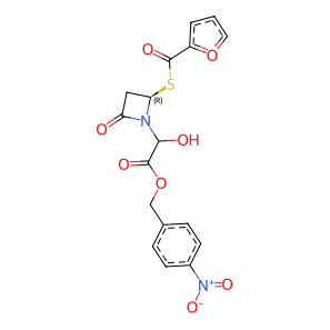 O=C(S[C@@H]1CC(=O)N1C(O)C(=O)OCc1ccc([N+](=O)[O-])cc1)c1ccco1